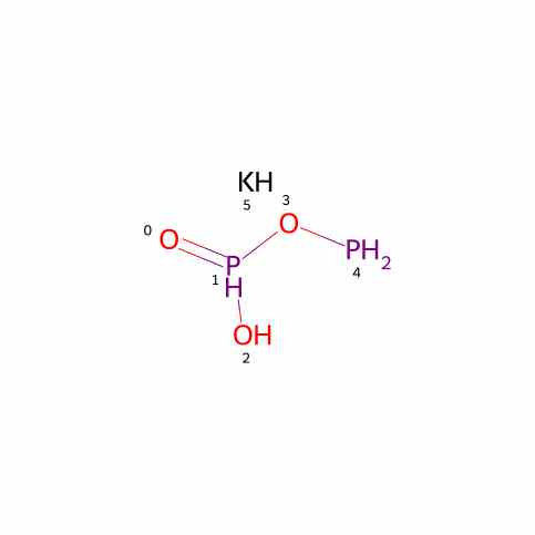 O=[PH](O)OP.[KH]